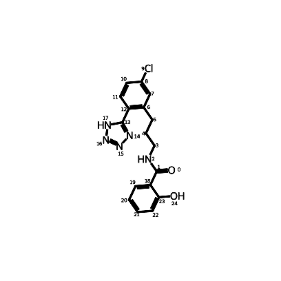 O=C(NCCCc1cc(Cl)ccc1-c1nnn[nH]1)c1ccccc1O